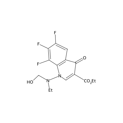 CCOC(=O)c1cn(N(CC)CO)c2c(F)c(F)c(F)cc2c1=O